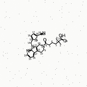 CC(C)(CCCC(=O)N1CCc2c(n(Cc3ccc(C#N)s3)c3ncccc23)C1)C(=O)O